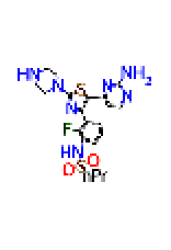 CCCS(=O)(=O)Nc1cccc(-c2nc(N3CCNCC3)sc2-c2ccnc(N)n2)c1F